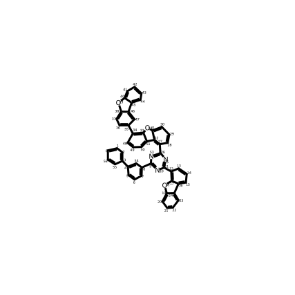 c1ccc(-c2cccc(-c3nc(-c4cccc5c4oc4ccccc45)nc(-c4cccc5oc6c(-c7ccc8oc9ccccc9c8c7)cccc6c45)n3)c2)cc1